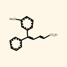 CCOC(=O)C=CC=C(c1ccccc1)c1cccc(OC)c1